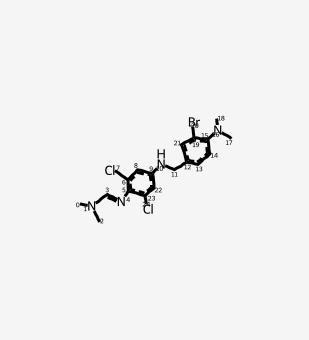 CN(C)C=Nc1c(Cl)cc(NCc2ccc(N(C)C)c(Br)c2)cc1Cl